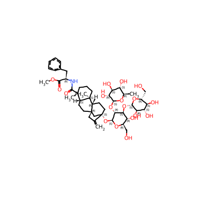 C=C1C[C@@]23CC[C@H]4[C@@](C)(CCC[C@@]4(C)C(=O)N[C@H](Cc4ccccc4)C(=O)OC)[C@@H]2CC[C@]1(O[C@@H]1O[C@H](CO)[C@@H](O)[C@H](O[C@@H]2O[C@H](CO)[C@@H](O)[C@H](O)[C@H]2O)[C@H]1O[C@@H]1O[C@H](C)[C@@H](O)[C@H](O)[C@H]1O)C3